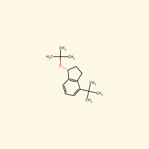 CC(C)(C)O[C@@H]1CCc2c1cccc2C(C)(C)C